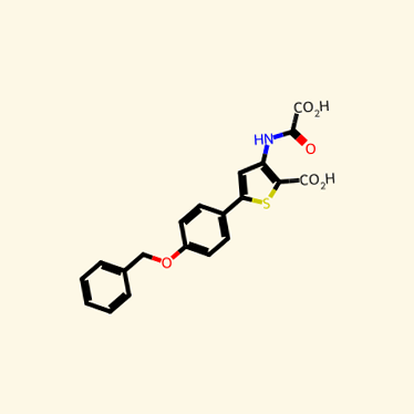 O=C(O)C(=O)Nc1cc(-c2ccc(OCc3ccccc3)cc2)sc1C(=O)O